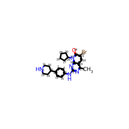 Cc1nc(Nc2ccc(C3CCNCC3)cc2)nc2c1cc(Br)c(=O)n2C1CCCC1